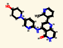 Cc1ncccc1-c1cc(Nc2ccc(N3CCC(O)CC3)cn2)c2c(=O)[nH]ccc2n1